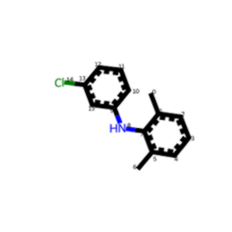 Cc1cccc(C)c1Nc1cccc(Cl)c1